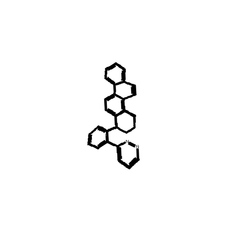 c1cnnc(-c2ccccc2C2CCCc3c2ccc2c3ccc3ccccc32)c1